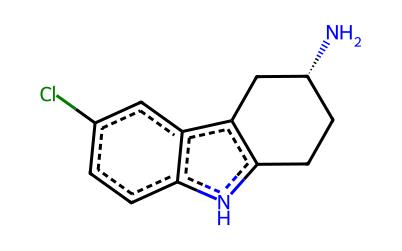 N[C@@H]1CCc2[nH]c3ccc(Cl)cc3c2C1